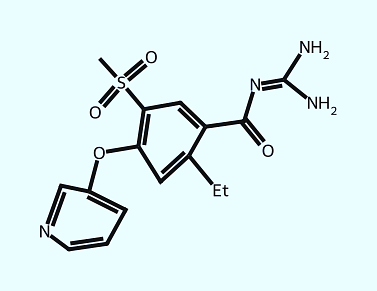 CCc1cc(Oc2cccnc2)c(S(C)(=O)=O)cc1C(=O)N=C(N)N